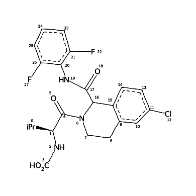 CC(C)[C@H](NC(=O)O)C(=O)N1CCc2cc(Cl)ccc2C1C(=O)Nc1c(F)cccc1F